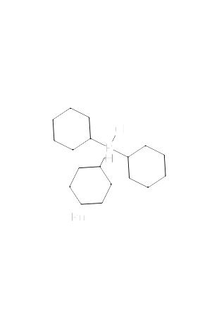 Cl[PH](C1CCCCC1)(C1CCCCC1)C1CCCCC1.[Ru]